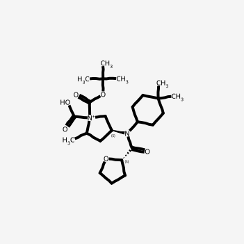 CC1C[C@H](N(C(=O)[C@@H]2CCCO2)C2CCC(C)(C)CC2)C[N+]1(C(=O)O)C(=O)OC(C)(C)C